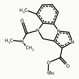 Cc1cccc2c1N(C(=O)N(C)C)Cc1c(C(=O)OC(C)(C)C)ncn1-2